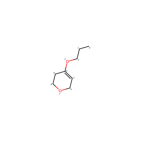 CCCOC1=CCOCC1